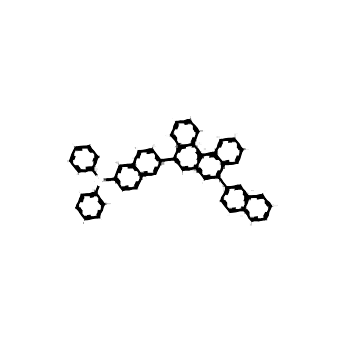 c1ccc(N(c2ccccc2)c2ccc3cc(-c4cc5cc(-c6ccc7ccccc7c6)c6ccccc6c5c5ccccc45)ccc3c2)cc1